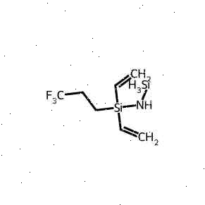 C=C[Si](C=C)(CCC(F)(F)F)N[SiH3]